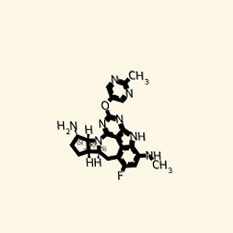 CNc1cc(F)c2c3c1[nH]c1nc(Oc4cnc(C)nc4)nc(c13)N1[C@@H]3[C@@H](CC[C@@H]3N)[C@@H]1C2